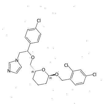 Clc1ccc(C(Cn2ccnc2)OC[C@H]2CCC[C@H](OCc3ccc(Cl)cc3Cl)O2)cc1